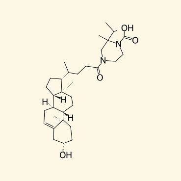 CC(CCC(=O)N1CCN(C(=O)O)C(C)(C(C)C)C1)[C@H]1CC[C@H]2[C@@H]3CC=C4C[C@@H](O)CC[C@]4(C)[C@H]3CC[C@]12C